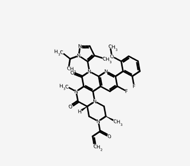 C=CC(=O)N1C[C@@H]2C(=O)N(C)c3c(c4cc(F)c(-c5c(F)cccc5OC)nc4n(-c4c(C)cnn4C(C)C)c3=O)N2C[C@H]1C